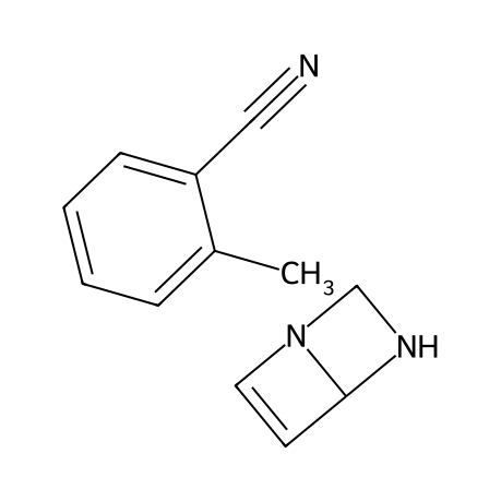 C1=CN2CNC12.Cc1ccccc1C#N